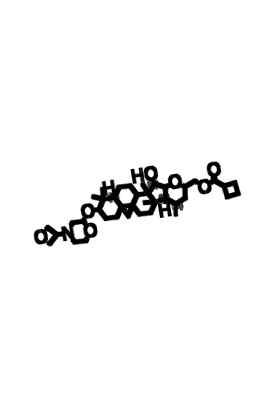 C[C@@H]1CC(COC(=O)C2CCC2)OC2[C@H]1C1(C)CCC34CC35CCC(OC3CN(C6COC6)CCO3)C(C)(C)[C@@H]5CCC4C1(C)[C@H]2O